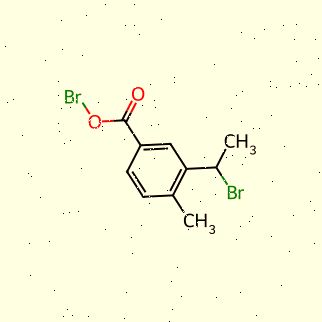 Cc1ccc(C(=O)OBr)cc1C(C)Br